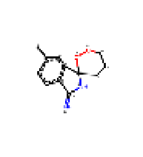 Cc1ccc2c(c1)C1(CCCOO1)NC2=N